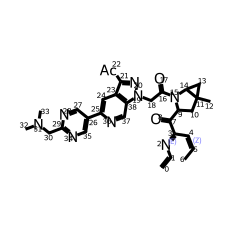 C=C/N=C(\C=C/C)C(=O)C1CC2(C)CC2N1C(=O)Cn1nc(C(C)=O)c2cc(-c3cnc(CN(C)C)nc3)ncc21